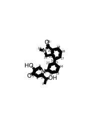 CC(O)c1cc(=O)c(O)cn1-c1cccc(-c2cccc3c2CN(C)C3=O)c1